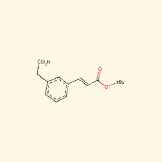 CC(C)(C)OC(=O)/C=C/c1cccc(CC(=O)O)c1